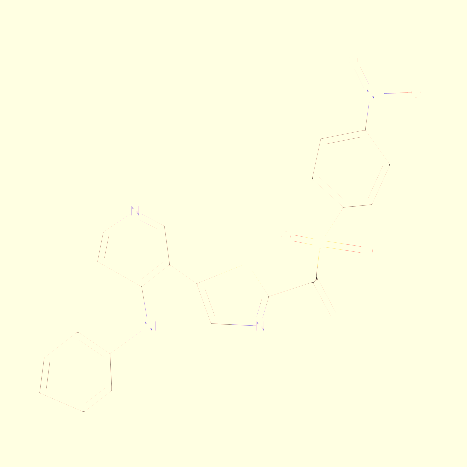 C=C(c1ncc(-c2cnccc2Nc2ccccc2)s1)S(=O)(=O)c1ccc([N+](=O)[O-])cc1